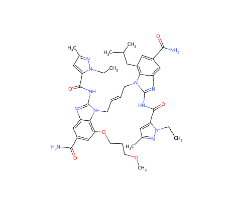 CCn1nc(C)cc1C(=O)Nc1nc2cc(C(N)=O)cc(CC(C)C)c2n1C/C=C/Cn1c(NC(=O)c2cc(C)nn2CC)nc2cc(C(N)=O)cc(OCCCOC)c21